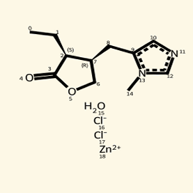 CC[C@@H]1C(=O)OC[C@@H]1Cc1cncn1C.O.[Cl-].[Cl-].[Zn+2]